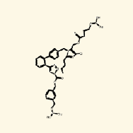 CCCCc1nc(Cl)c(COC(=O)CCCON(O)O)n1Cc1ccc(-c2ccccc2-c2nnn(C(=O)OCc3cccc(CON(O)O)c3)n2)cc1